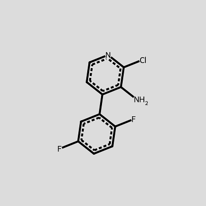 Nc1c(-c2cc(F)ccc2F)ccnc1Cl